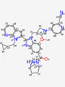 COc1cc(C(=O)N2CC3CCC2[C@@H]3N)cc2nc(-c3cc4cccnc4n3CC3CC3)n(CC3CN(c4ccnc(C#N)c4)C3)c12